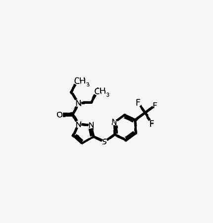 CCN(CC)C(=O)n1ccc(Sc2ccc(C(F)(F)F)cn2)n1